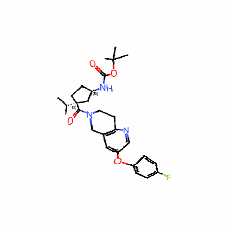 CC(C)[C@]1(C(=O)N2CCc3ncc(Oc4ccc(F)cc4)cc3C2)CC[C@@H](NC(=O)OC(C)(C)C)C1